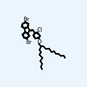 CCCCCCCCCCC(CCCCCCCC)COc1ccc(C=C2c3cc(Br)ccc3-c3ccc(Br)cc32)c(Cl)c1